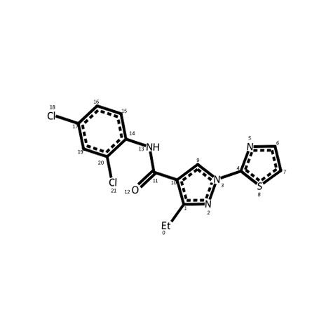 CCc1nn(-c2nccs2)cc1C(=O)Nc1ccc(Cl)cc1Cl